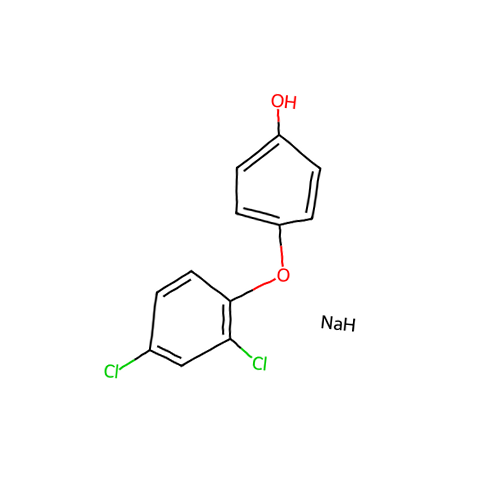 Oc1ccc(Oc2ccc(Cl)cc2Cl)cc1.[NaH]